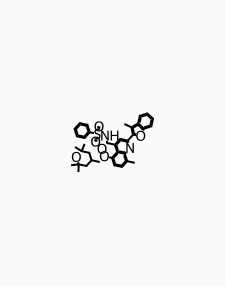 Cc1c(-c2cc(C(=O)NS(=O)(=O)c3ccccc3)c3c(OCC4CC(C)(C)OC(C)(C)C4)ccc(C)c3n2)oc2ccccc12